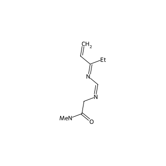 C=C/C(CC)=N/C=N\CC(=O)NC